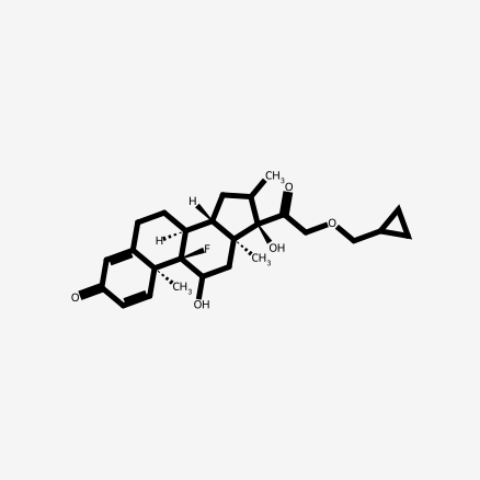 CC1C[C@H]2[C@@H]3CCC4=CC(=O)C=C[C@]4(C)[C@@]3(F)C(O)C[C@]2(C)[C@@]1(O)C(=O)COCC1CC1